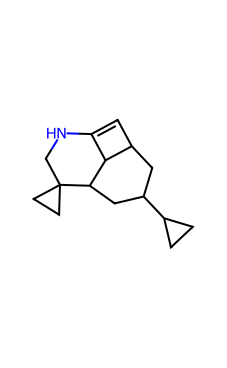 C1=C2NCC3(CC3)C3CC(C4CC4)CC1C23